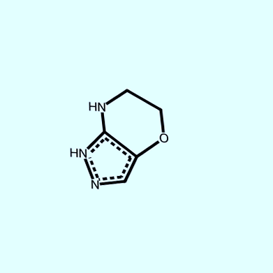 c1n[nH]c2c1OCCN2